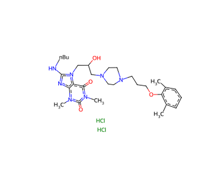 CCCCNc1nc2c(c(=O)n(C)c(=O)n2C)n1CC(O)CN1CCN(CCCOc2c(C)cccc2C)CC1.Cl.Cl